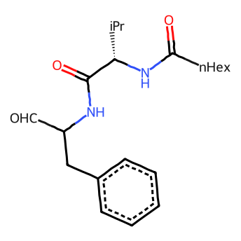 CCCCCCC(=O)N[C@H](C(=O)NC(C=O)Cc1ccccc1)C(C)C